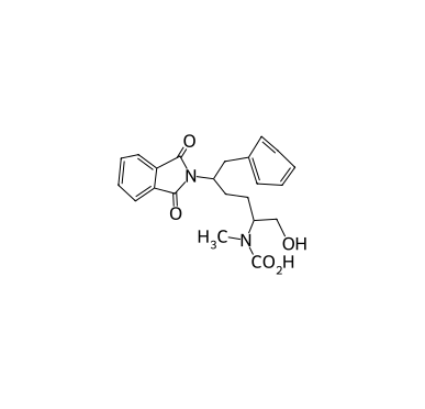 CN(C(=O)O)C(CO)CCC(Cc1ccccc1)N1C(=O)c2ccccc2C1=O